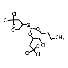 CCCCOP(OC(CCl)CC(Cl)(Cl)Cl)OC(CCl)CC(Cl)(Cl)Cl